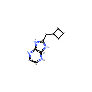 c1cnc2[nH]c(CC3CCC3)nc2n1